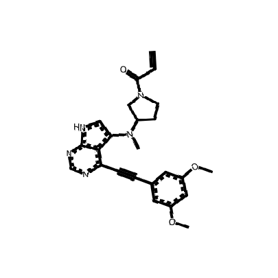 C=CC(=O)N1CCC(N(C)c2c[nH]c3ncnc(C#Cc4cc(OC)cc(OC)c4)c23)C1